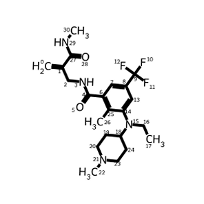 C=C(CNC(=O)c1cc(C(F)(F)F)cc(N(CC)C2CCN(C)CC2)c1C)C(=O)NC